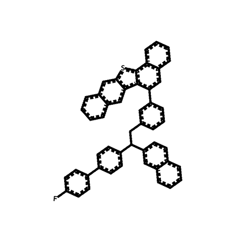 Fc1ccc(-c2ccc(C(Cc3cccc(-c4cc5ccccc5c5sc6cc7ccccc7cc6c45)c3)c3ccc4ccccc4c3)cc2)cc1